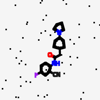 N#Cc1cc(I)ccc1NC(=O)Cc1ccc(-n2cccc2)cc1